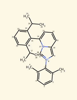 Cc1cccc(C)c1-[n+]1cc2cccc(-c3c(C(C)C)cccc3C(C)C)n2c1